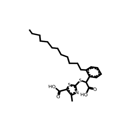 CCCCCCCCCCCCc1ccccc1C(Sc1nc(C)c(C(=O)O)s1)C(=O)O